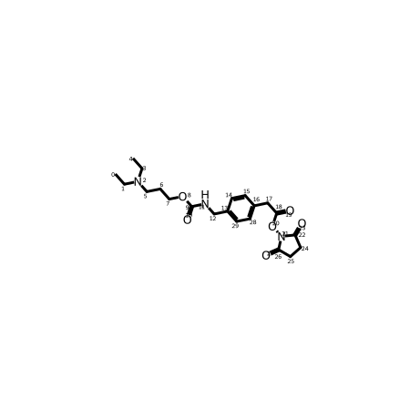 CCN(CC)CCCOC(=O)NCc1ccc(CC(=O)ON2C(=O)CCC2=O)cc1